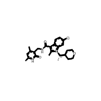 Cc1cc(C)c(CNC(=O)c2c(C)n([C@@H](C)C3CCOCC3)c3cc(Cl)ccc23)c(=O)[nH]1